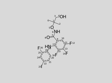 CC(C)(CO)ONC(=O)c1cc(F)c(F)c(F)c1Nc1ccc(I)cc1F